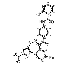 O=C(O)c1cc2c(s1)-c1ccc(F)cc1N(C(=O)c1ccc(NC(=O)c3cccnc3Cl)cc1)CC2